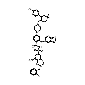 CC1(C)CCC(CN2CCN(c3ccc(C(=O)NS(=O)(=O)c4cc5c(c([N+](=O)[O-])c4)N[C@H](Cc4ccccc4Cl)CO5)c(Oc4cnc5[nH]ccc5c4)c3)CC2)=C(c2ccc(Cl)cc2)C1